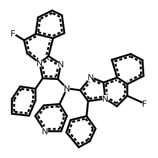 Fc1cn2c(-c3ccccc3)c(N(c3ccncc3)c3nc4c5ccccc5c(F)cn4c3-c3ccccc3)nc2c2ccccc12